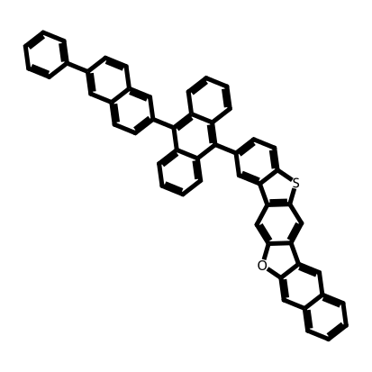 c1ccc(-c2ccc3cc(-c4c5ccccc5c(-c5ccc6sc7cc8c(cc7c6c5)oc5cc6ccccc6cc58)c5ccccc45)ccc3c2)cc1